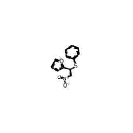 O=[N+]([O-])CC(Sc1ccccc1)c1ccco1